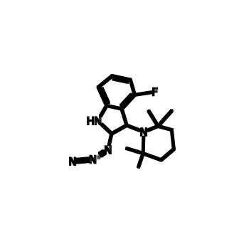 CC1(C)CCCC(C)(C)N1C1c2c(F)cccc2NC1N=[N+]=[N-]